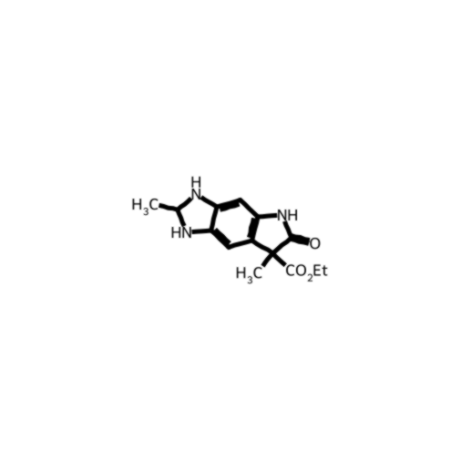 CCOC(=O)C1(C)C(=O)Nc2cc3c(cc21)NC(C)N3